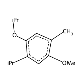 COc1cc(C(C)C)c(OC(C)C)cc1C